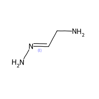 NC/C=N/N